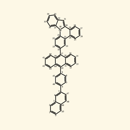 c1ccc2cc(-c3ccc(-c4c5ccccc5c(-c5ccc6c(c5)c5ccccc5c5cc7ccccc7n65)c5ccccc45)cc3)ccc2c1